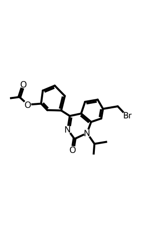 CC(=O)Oc1cccc(-c2nc(=O)n(C(C)C)c3cc(CBr)ccc23)c1